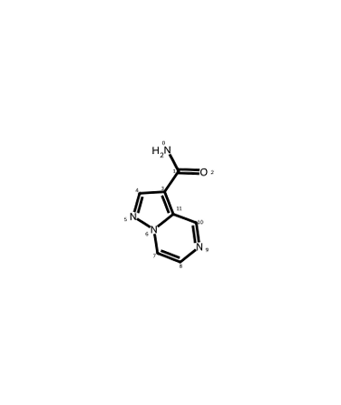 NC(=O)c1cnn2ccncc12